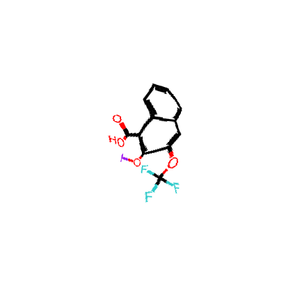 O=C(O)c1c(OI)c(OC(F)(F)F)cc2ccccc12